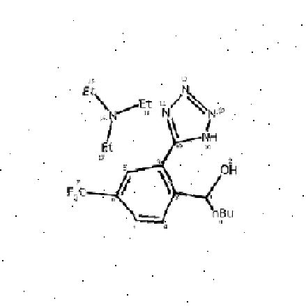 CCCCC(O)c1ccc(C(F)(F)F)cc1-c1nnn[nH]1.CCN(CC)CC